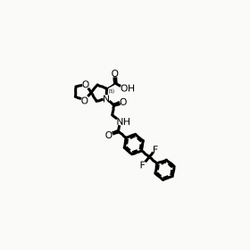 O=C(NCC(=O)N1CC2(C[C@H]1C(=O)O)OCCO2)c1ccc(C(F)(F)c2ccccc2)cc1